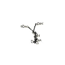 CCCCCCCCCCCCCCCCCCN(CCCCCCCCCCCCCCCCCC)C(=O)c1cccc(S(=O)(=O)Nc2cccc3c(/N=N/c4cc(Cl)ccc4Cl)c(O)ccc23)c1